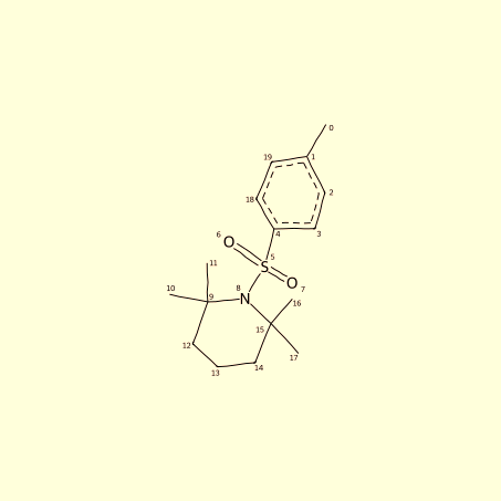 Cc1ccc(S(=O)(=O)N2C(C)(C)CCCC2(C)C)cc1